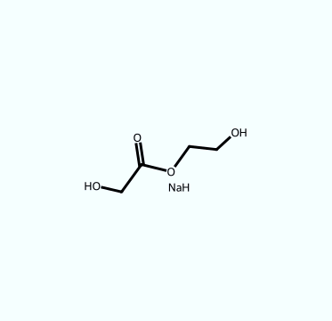 O=C(CO)OCCO.[NaH]